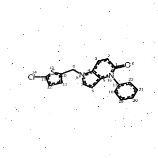 O=c1ccc2c(ccn2Cc2ccc(Cl)s2)n1-c1ccccc1